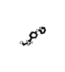 ClCc1nnc(C2CCC(Oc3ccccn3)CC2)o1